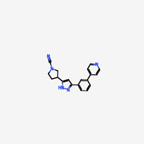 N#CN1CCC(c2cc(-c3cccc(-c4ccncc4)c3)n[nH]2)C1